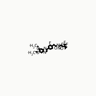 [CH2]COc1cc2ncc(-c3ccc(CC(=O)Nc4cc(C5(C(F)(F)F)CC5)on4)c(F)c3)nc2cc1OC[CH2]